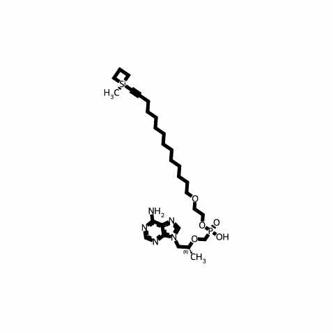 C[C@H](Cn1cnc2c(N)ncnc21)OCP(=O)(O)OCCOCCCCCCCCCCCCC#C[Si]1(C)CCC1